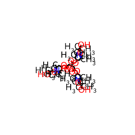 CC(C)(O)CON1C(C)(C)CC(OC(=O)CC(O)(CC(=O)OC2CC(C)(C)N(OCC(C)(C)O)C(C)(C)C2)C(=O)OC2CC(C)(C)N(OCC(C)(C)O)C(C)(C)C2)CC1(C)C